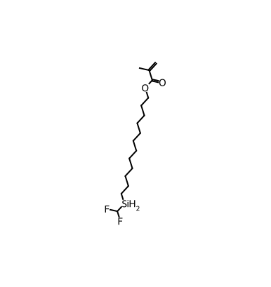 C=C(C)C(=O)OCCCCCCCCCCCC[SiH2]C(F)F